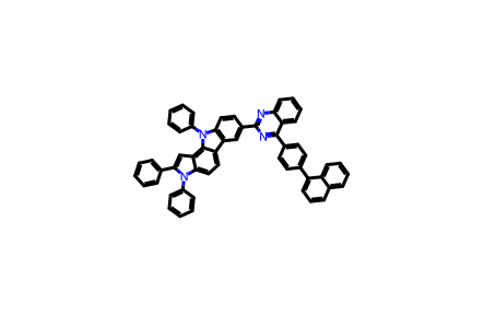 c1ccc(-c2cc3c(ccc4c5cc(-c6nc(-c7ccc(-c8cccc9ccccc89)cc7)c7ccccc7n6)ccc5n(-c5ccccc5)c43)n2-c2ccccc2)cc1